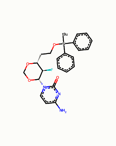 CC(C)(C)[Si](OCC[C@H]1OCO[C@@H](n2ccc(N)nc2=O)[C@@H]1F)(c1ccccc1)c1ccccc1